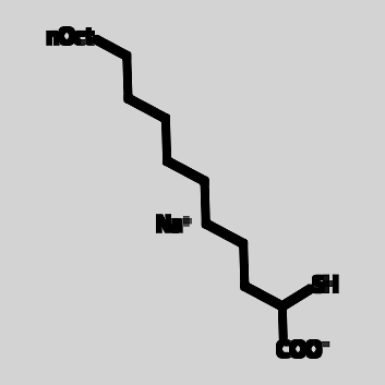 CCCCCCCCCCCCCCCCC(S)C(=O)[O-].[Na+]